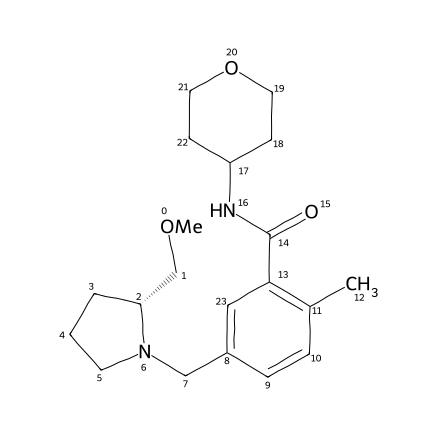 COC[C@H]1CCCN1Cc1ccc(C)c(C(=O)NC2CCOCC2)c1